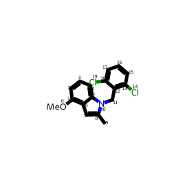 COc1cccc2c1cc(C)n2Cc1c(Cl)cccc1Cl